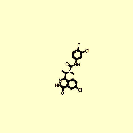 CC(c1n[nH]c(=O)c2cc(Cl)ccc12)N(C)C(=O)Nc1ccc(F)c(Cl)c1